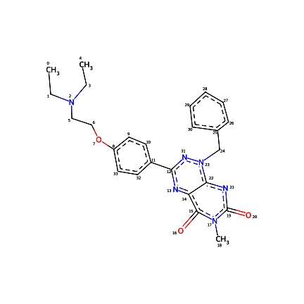 CCN(CC)CCOc1ccc(-c2nc3c(=O)n(C)c(=O)nc-3n(Cc3ccccc3)n2)cc1